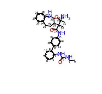 CCNC(=O)Nc1ccccc1-c1ccc(NC(=O)C(C)([C@H]2CCc3ccccc3NC2=O)C(C)(C)N)cc1